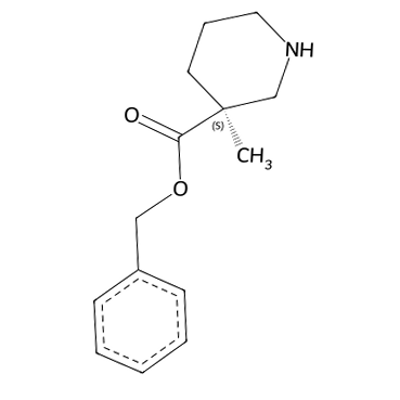 C[C@]1(C(=O)OCc2ccccc2)CCCNC1